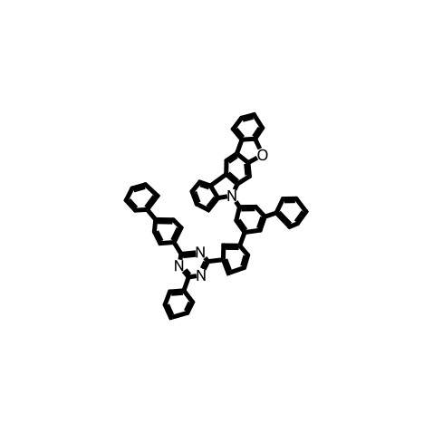 c1ccc(-c2ccc(-c3nc(-c4ccccc4)nc(-c4cccc(-c5cc(-c6ccccc6)cc(-n6c7ccccc7c7cc8c(cc76)oc6ccccc68)c5)c4)n3)cc2)cc1